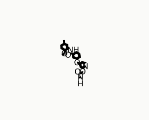 CNC(=O)Oc1cc(Oc2cccc(C(=O)Nc3cc(C)ccc3OC)c2)ccn1